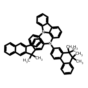 CC1(C)c2cc(N(c3ccc4c(c3)C(C)(C)C(C)(C)c3ccccc3-4)c3cccc4c5ccccc5n(-c5ccccc5)c34)ccc2-c2cc3ccccc3cc21